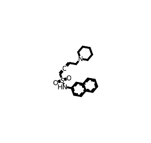 O=S(=O)(C=C=CCN1CCCCC1)Nc1ccc2ccccc2c1